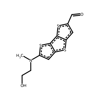 CN(CCO)c1cc2sc3cc(C=O)sc3c2s1